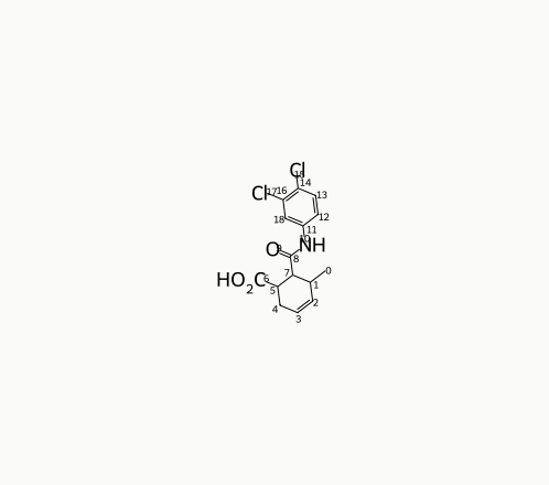 CC1C=CCC(C(=O)O)C1C(=O)Nc1ccc(Cl)c(Cl)c1